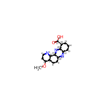 COc1ccnc2c1ccc1nc3cccc(C(=O)O)c3nc12